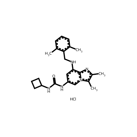 Cc1cccc(C)c1CNc1cc(NC(=O)NC2CCC2)cn2c(C)c(C)nc12.Cl